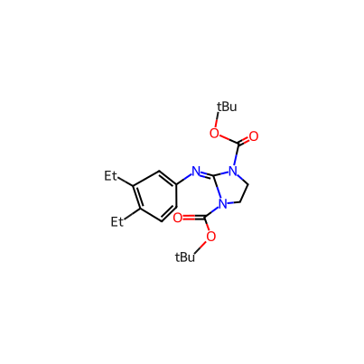 CCc1ccc(N=C2N(C(=O)OC(C)(C)C)CCN2C(=O)OC(C)(C)C)cc1CC